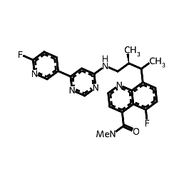 CNC(=O)c1ccnc2c(C(C)[C@H](C)CNc3cc(-c4ccc(F)nc4)ncn3)ccc(F)c12